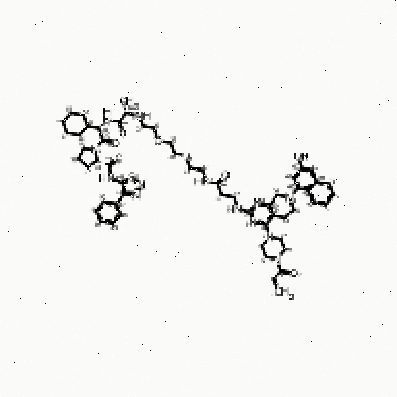 C=CC(=O)N1CCN(c2nc(NCCC(=O)NCCOCCOCCN[C@@H](C)C(=O)N[C@H](C(=O)N3CCC[C@H]3C(=O)Nc3snnc3-c3ccccc3)C3CCCCC3)nc3c2CCN(c2cc(O)cc4ccccc24)C3)CC1